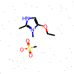 CCOc1c[nH]c(C)[n+]1C.CS(=O)(=O)[O-]